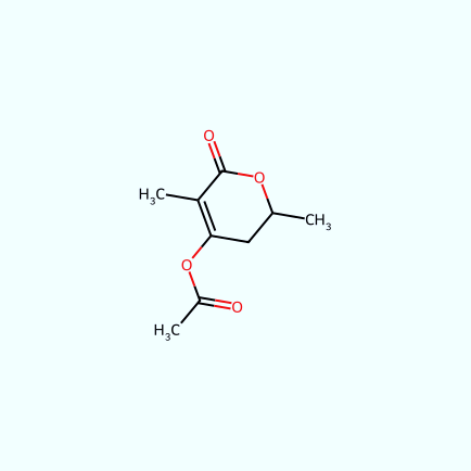 CC(=O)OC1=C(C)C(=O)OC(C)C1